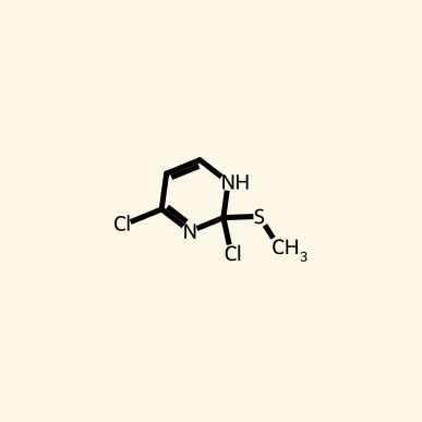 CSC1(Cl)N=C(Cl)C=CN1